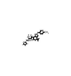 Cc1ccc(Cn2cc3c(n2)-c2c(oc(C(=O)NC[C@@H]4CCCO4)c2C(F)(F)F)CC32CC2)cn1